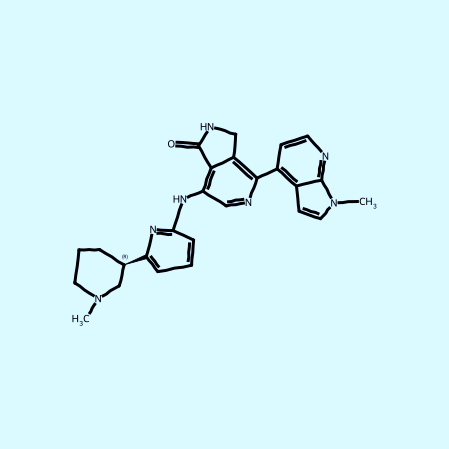 CN1CCC[C@@H](c2cccc(Nc3cnc(-c4ccnc5c4ccn5C)c4c3C(=O)NC4)n2)C1